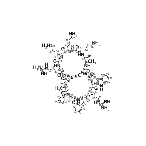 C[C@@H]1NC(=O)[C@@H]2CSS[C@H](NC(=O)[C@H](CCCNC(=N)N)NC(=O)[C@H](CCCCN)NC(=O)[C@H](CCCCN)NC(=O)[C@H](CCCCN)NC1=O)C(=O)N[C@H](C)C(=O)N[C@@H](Cc1c[nH]cn1)C(=O)N[C@H](Cc1ccccc1)C(=O)N[C@@H](CCCNC(=N)N)C(=O)N[C@@H](Cc1c[nH]c3ccccc13)C(=O)N2